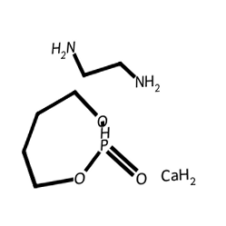 NCCN.O=[PH]1OCCCCO1.[CaH2]